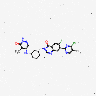 O=c1[nH]ncc(N[C@H]2CCC[C@@H](Cn3cnc4cc(-c5ncc(C(F)(F)F)c(Br)n5)c(F)cc4c3=O)C2)c1C(F)(F)F